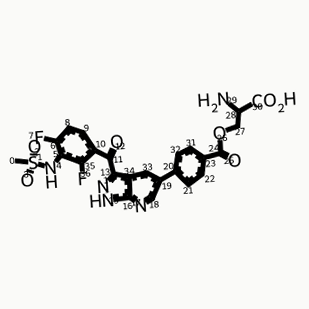 CS(=O)(=O)Nc1c(F)ccc(C(=O)c2n[nH]c3ncc(-c4ccc(C(=O)OCC(N)C(=O)O)cc4)cc23)c1F